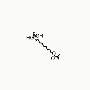 C=C(C)C(=O)OCCCCCCCCSP(O)(O)=S